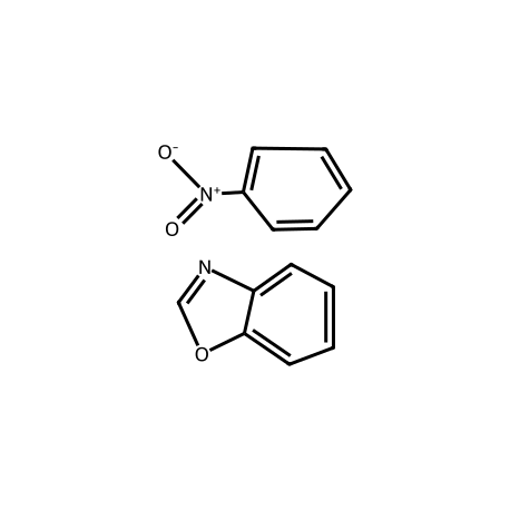 O=[N+]([O-])c1ccccc1.c1ccc2ocnc2c1